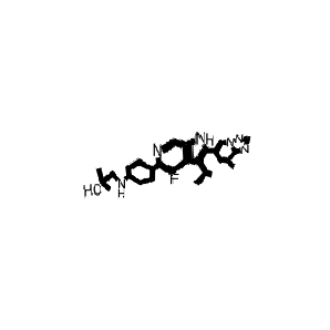 Cc1cc(-c2[nH]c3cnc(C4CCC(NCC(C)(C)O)CC4)c(F)c3c2C(C)C)cn2ncnc12